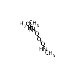 CCNCCOCCOCCOCCn1cc(C(C)C)nn1